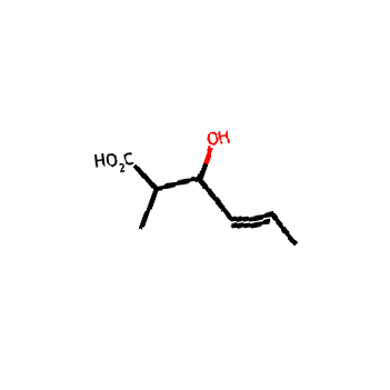 CC=CC(O)C(C)C(=O)O